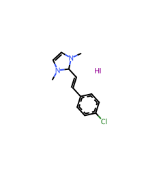 CN1C=CN(C)C1C=Cc1ccc(Cl)cc1.I